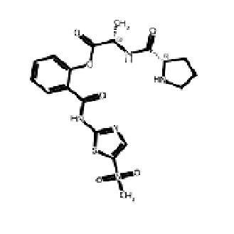 C[C@H](NC(=O)[C@@H]1CCCN1)C(=O)Oc1ccccc1C(=O)Nc1ncc(S(C)(=O)=O)s1